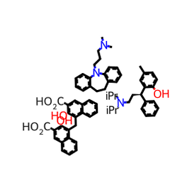 CN(C)CCCN1c2ccccc2CCc2ccccc21.Cc1ccc(O)c([C@H](CCN(C(C)C)C(C)C)c2ccccc2)c1.O=C(O)c1cc2ccccc2c(Cc2c(O)c(C(=O)O)cc3ccccc23)c1O